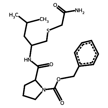 CC(C)CC(CSCC(N)=O)NC(=O)C1CCCN1C(=O)OCc1ccccc1